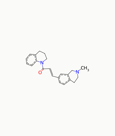 CN1CCc2ccc(C=CC(=O)N3CCCc4ccccc43)cc2C1